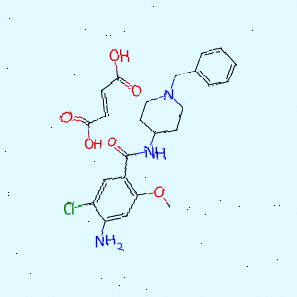 COc1cc(N)c(Cl)cc1C(=O)NC1CCN(Cc2ccccc2)CC1.O=C(O)C=CC(=O)O